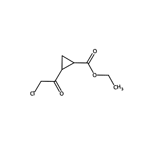 CCOC(=O)C1CC1C(=O)CCl